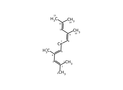 CC(C)=CC(C)=[CH][Ce][CH]=C(C)C=C(C)C